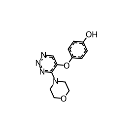 Oc1ccc(Oc2cnnnc2N2CCOCC2)cc1